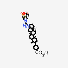 CC1C(C2=CCC(C(=O)O)CC2)=CCC2(C)C1CCC1(C)C3CCC4(NCCN5C[C@@H]6CC5CS6(=O)=O)CCC[C@@H]4C3CCC21